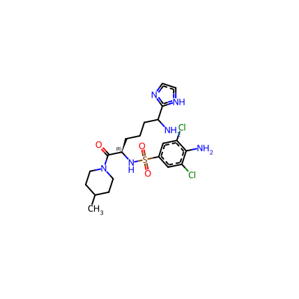 CC1CCN(C(=O)[C@@H](CCCC(N)c2ncc[nH]2)NS(=O)(=O)c2cc(Cl)c(N)c(Cl)c2)CC1